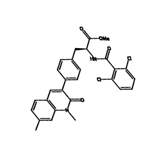 COC(=O)[C@H](Cc1ccc(-c2cc3ccc(C)cc3n(C)c2=O)cc1)NC(=O)c1c(Cl)cccc1Cl